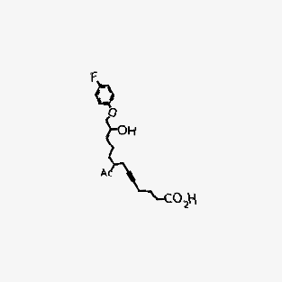 CC(=O)C(CC#CCCCC(=O)O)CCCC(O)COc1ccc(F)cc1